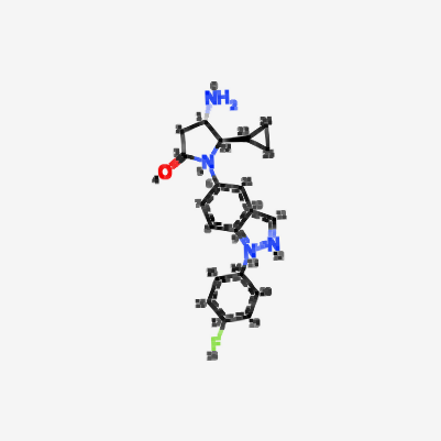 N[C@H]1CC(=O)N(c2ccc3c(cnn3-c3ccc(F)cc3)c2)[C@@H]1C1CC1